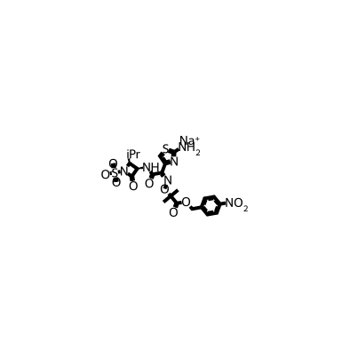 CC(C)[C@H]1[C@@H](NC(=O)/C(=N\OC(C)(C)C(=O)OCc2ccc([N+](=O)[O-])cc2)c2csc(N)n2)C(=O)N1S(=O)(=O)[O-].[Na+]